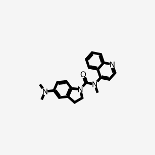 CN(C)c1ccc2c(c1)CCN2C(=O)N(C)c1ccnc2ccccc12